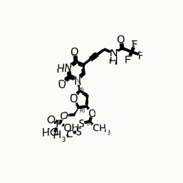 CSS[C@H](C)OC1C[C@H](n2cc(C#CCNC(=O)C(F)(F)F)c(=O)[nH]c2=O)O[C@@H]1COP(=O)(O)O